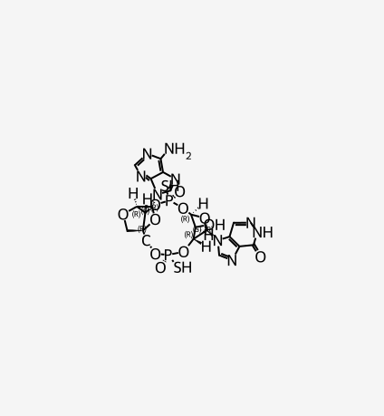 Nc1ncnc2c1ncn2[C@@H]1O[C@@]23CO[C@@H]1[C@@H]2OP(=O)(S)O[C@H]1O[C@@H](n2cnc4c(=O)[nH]ncc42)[C@H](OP(=O)(S)OC3)[C@@H]1O